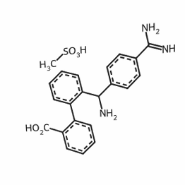 CS(=O)(=O)O.N=C(N)c1ccc(C(N)c2ccccc2-c2ccccc2C(=O)O)cc1